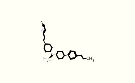 C=C([C@H]1CC[C@H](CC/C=C/C#N)CC1)[C@H]1CC[C@H](c2ccc(CCC)cc2)CC1